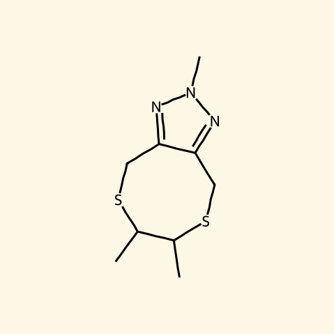 CC1SCc2nn(C)nc2CSC1C